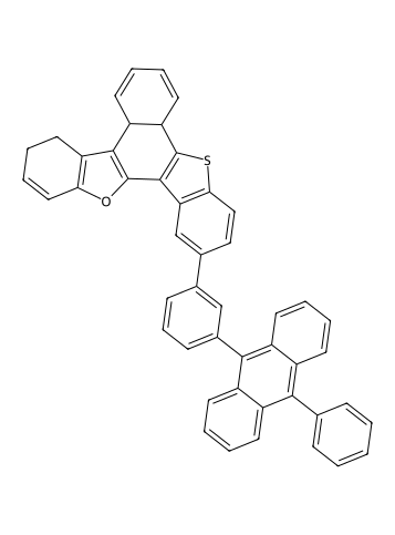 C1=CC2c3sc4ccc(-c5cccc(-c6c7ccccc7c(-c7ccccc7)c7ccccc67)c5)cc4c3-c3oc4c(c3C2C=C1)CCC=C4